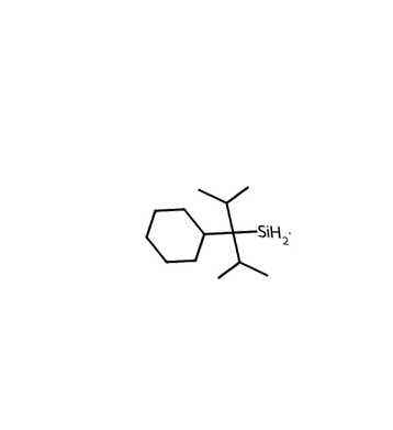 CC(C)C([SiH2])(C(C)C)C1CCCCC1